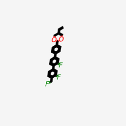 C=CC1COC(c2ccc(-c3ccc(-c4ccc(CF)c(F)c4)c(F)c3)cc2)OC1